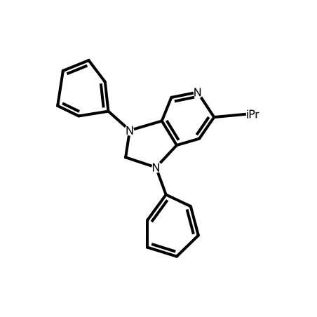 CC(C)c1cc2c(cn1)N(c1ccccc1)CN2c1ccccc1